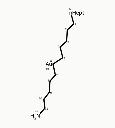 CCCCCCCCCCCCCCCCCCN.[Au]